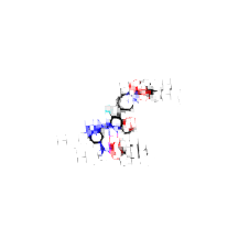 Cc1cc(N(C)C(=O)OC(C)(C)C)cc(Nc2nc3c(c([C@@H]4CCCN(C(=O)OC(C)(C)C)CC4)c2F)OCC3)n1